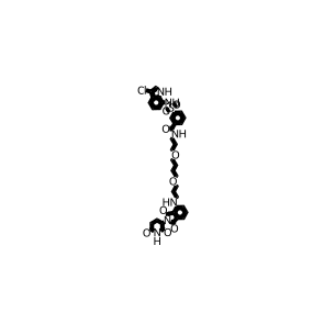 O=C1CCC(N2C(=O)c3cccc(NCCCOCCCCOCCCNC(=O)c4cccc(S(=O)(=O)Nc5cccc6c(Cl)c[nH]c56)c4)c3C2=O)C(=O)N1